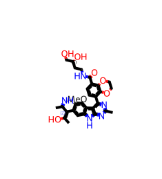 COc1cc2c(cc1/C(C(C)=N)=C(\C)O)[nH]c1nc(C)nc(-c3ccc(C(=O)NCC[C@H](O)CO)c4c3OCCO4)c12